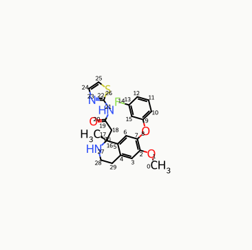 COc1cc2c(cc1Oc1cccc(F)c1)[C@@](C)(CC(=O)Nc1nccs1)NCC2